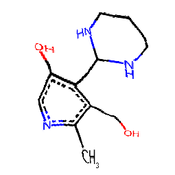 Cc1ncc(O)c(C2NCCCN2)c1CO